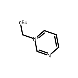 CCCCC[n+]1cccnc1